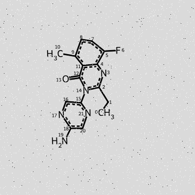 CCc1nc2c(F)ccc(C)c2c(=O)n1-c1cnc(N)cn1